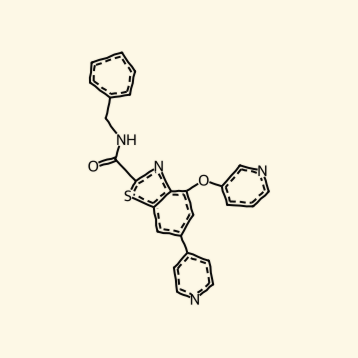 O=C(NCc1ccccc1)c1nc2c(Oc3cccnc3)cc(-c3ccncc3)cc2s1